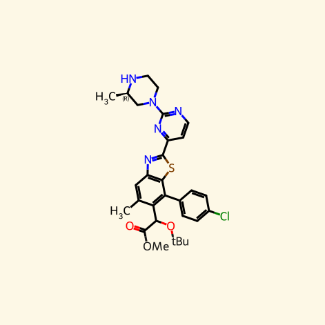 COC(=O)C(OC(C)(C)C)c1c(C)cc2nc(-c3ccnc(N4CCN[C@H](C)C4)n3)sc2c1-c1ccc(Cl)cc1